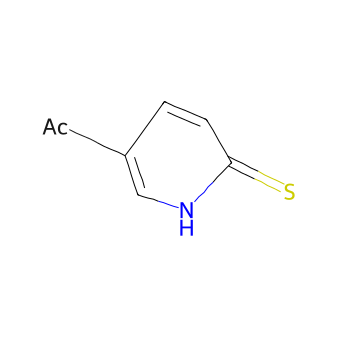 CC(=O)c1ccc(=S)[nH]c1